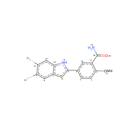 COc1ccc(-c2cc3cc(F)c(F)cc3[nH]2)cc1C(N)=O